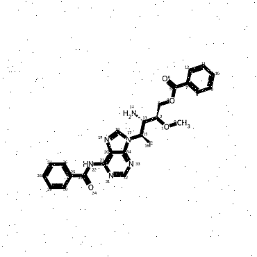 CO[C@H](COC(=O)c1ccccc1)[C@@H](N)[C@@H](F)n1cnc2c(NC(=O)c3ccccc3)ncnc21